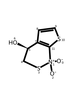 [O-][N+]1([O-])SC[C@@H](O)c2ccsc21